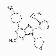 Cc1nc(N2CCN(C)CC2)c2nc(-c3ccccc3C3CC3)n(C3CCOCC3)c2n1.Cl